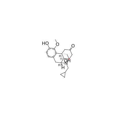 COc1c(O)ccc2c1[C@]13CCN(CC4CC4)[C@H](C2)[C@]1(O)CCC(=O)C3